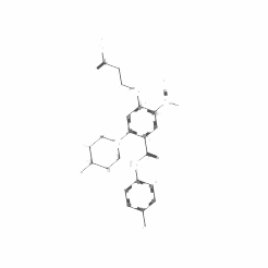 Cc1ccc(NC(=O)c2cc([N+](=O)[O-])c(NCCC(N)=O)cc2N2CCC(C)CC2)cc1